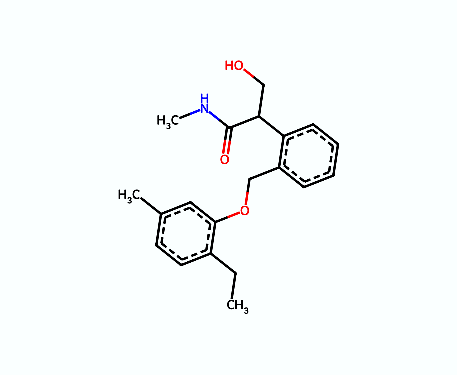 CCc1ccc(C)cc1OCc1ccccc1C(CO)C(=O)NC